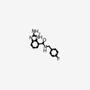 Nc1nc2cccc(C(=O)NCc3ccc(F)cc3)c2[nH]1